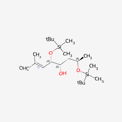 C/C(C=O)=C\[C@H](O[Si](C)(C)C(C)(C)C)[C@@H](O)C[C@@H](C)O[Si](C)(C)C(C)(C)C